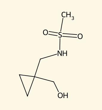 CS(=O)(=O)NCC1(CO)CC1